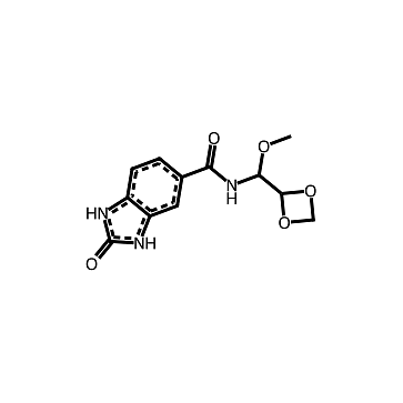 COC(NC(=O)c1ccc2[nH]c(=O)[nH]c2c1)C1OCO1